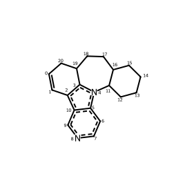 C1=Cc2c3n(c4ccncc24)C2CCCCC2CCC3C1